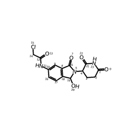 O=C1CCC(N2C(=O)c3cc(NC(=O)CCl)ccc3C2O)C(=O)N1